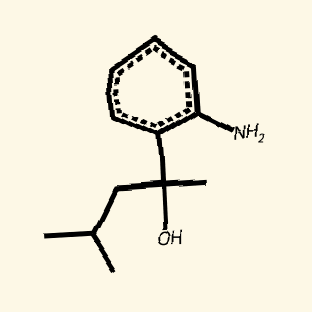 CC(C)CC(C)(O)c1ccccc1N